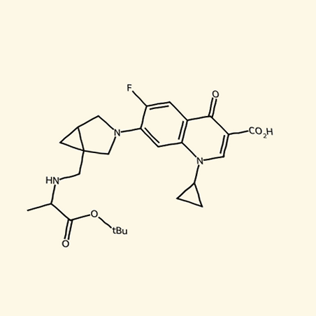 CC(NCC12CC1CN(c1cc3c(cc1F)c(=O)c(C(=O)O)cn3C1CC1)C2)C(=O)OC(C)(C)C